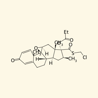 CCC(=O)O[C@]1(C(=O)SCCl)[C@@H](C)C[C@H]2[C@@H]3CCC4=CC(=O)C=C[C@]4(C)[C@@]34O[C@H]4C[C@@]21C